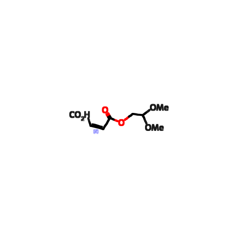 COC(COC(=O)/C=C\C(=O)O)OC